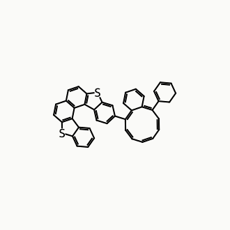 C1=CCCC(c2ccccccc(-c3ccc4c(c3)sc3ccc5ccc6sc7ccccc7c6c5c34)c3ccccc23)=C1